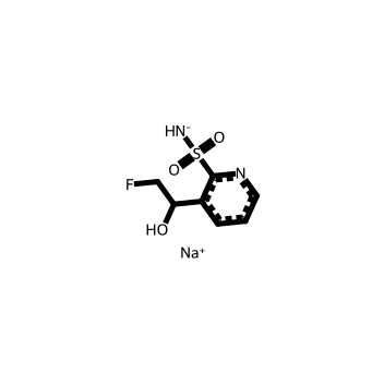 [NH-]S(=O)(=O)c1ncccc1C(O)CF.[Na+]